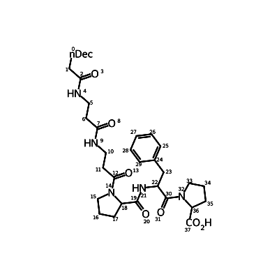 CCCCCCCCCCCC(=O)NCCC(=O)NCCC(=O)N1CCCC1C(=O)NC(Cc1ccccc1)C(=O)N1CCCC1C(=O)O